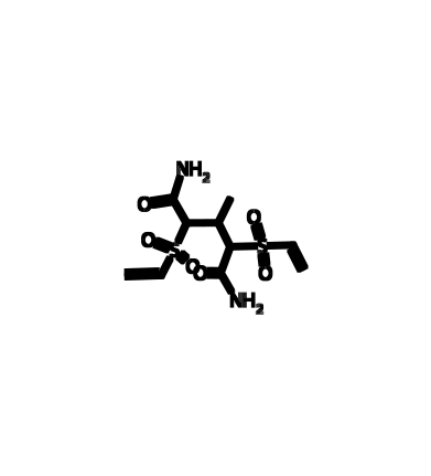 C=CS(=O)(=O)C(C(N)=O)C(C)C(C(N)=O)S(=O)(=O)C=C